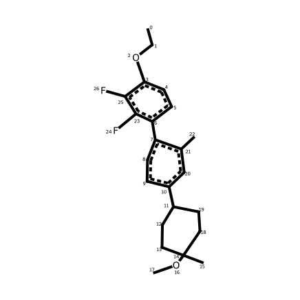 CCOc1ccc(-c2ccc(C3CCC(C)(OC)CC3)cc2C)c(F)c1F